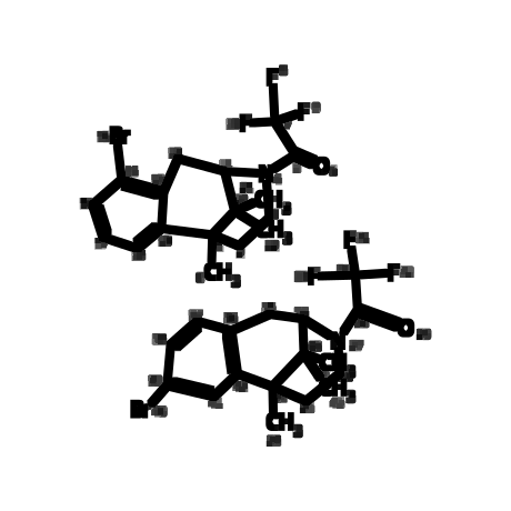 CC12CCN(C(=O)C(F)(F)F)C(Cc3c(Br)cccc31)C2(C)C.CC12CCN(C(=O)C(F)(F)F)C(Cc3ccc(Br)cc31)C2(C)C